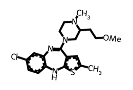 COCCC1CN(C2=Nc3cc(Cl)ccc3Nc3sc(C)cc32)CCN1C